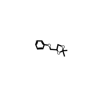 CC1(C)OCC(COc2c[c]ccc2)O1